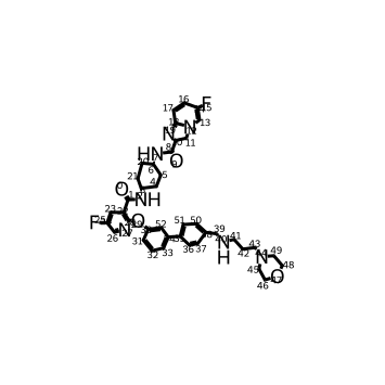 O=C(N[C@H]1CC[C@@H](NC(=O)C2CN3C=C(F)C=CC3=N2)CC1)c1cc(F)cnc1Oc1cccc(-c2ccc(CNCCCN3CCOCC3)cc2)c1